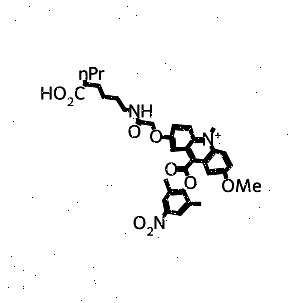 CCCC(CCCCNC(=O)COc1ccc2c(c1)c(C(=O)Oc1c(C)cc([N+](=O)[O-])cc1C)c1cc(OC)ccc1[n+]2C)C(=O)O